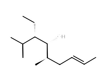 C/C=C/C[C@@H](C)[C@@H](O)[C@@H](CC)C(C)C